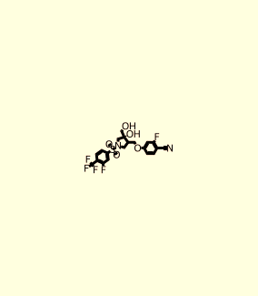 N#Cc1ccc(OCC2CN(S(=O)(=O)c3ccc(C(F)(F)F)c(F)c3)C[C@@]2(O)CO)cc1F